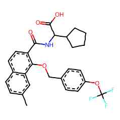 Cc1ccc2ccc(C(=O)NC(C(=O)O)C3CCCC3)c(OCc3ccc(OC(F)(F)F)cc3)c2c1